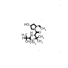 C=C[C@@H]1C[C@@H](O)CN1C(=O)[C@@H](NC(=O)C(C)(C)F)C(C)(C)C